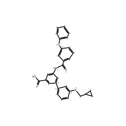 O=C(O)c1cc(NC(=O)c2cccc(Oc3ccccc3)c2)cc(-c2cccc(OCC3CC3)c2)c1